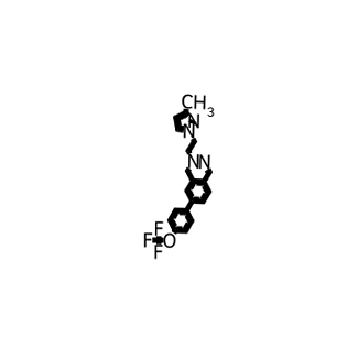 Cc1ccn(CCN2Cc3cc(-c4ccc(OC(F)(F)F)cc4)ccc3C=N2)n1